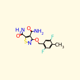 Cc1cc(F)c(COc2nsc(C(N)=O)c2C(N)=O)cc1F